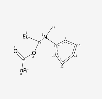 CCCC(=O)OC(CC)N(C)c1ccccc1